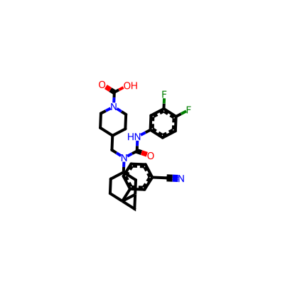 N#Cc1cccc(C23CCC(N(CC4CCN(C(=O)O)CC4)C(=O)Nc4ccc(F)c(F)c4)CC2C3)c1